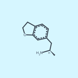 C[C@@H](N)Cc1ccc2c(c1)OCC2